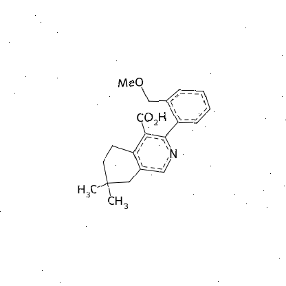 COCc1ccccc1-c1ncc2c(c1C(=O)O)CCC(C)(C)C2